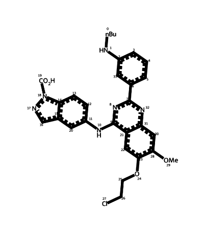 CCCCNc1cccc(-c2nc(Nc3ccc4c(cnn4C(=O)O)c3)c3cc(OCCCl)c(OC)cc3n2)c1